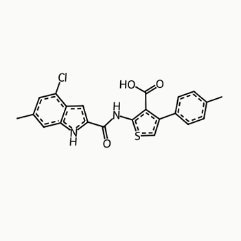 Cc1ccc(-c2csc(NC(=O)c3cc4c(Cl)cc(C)cc4[nH]3)c2C(=O)O)cc1